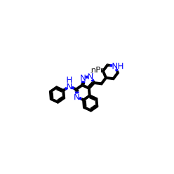 CCCn1nc2c(Nc3ccccc3)nc3ccccc3c2c1CC1CCNCC1